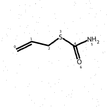 C=CCSC(N)=O